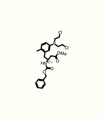 COC(=O)C[C@](C)(Cc1cc(N(CCCl)CCCl)ccc1C)NC(=O)OCc1ccccc1